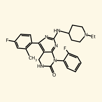 CCN1CCC(Nc2nc(-c3ccc(F)cc3C)c3c(n2)N(c2ccccc2F)C(=O)NC3)CC1